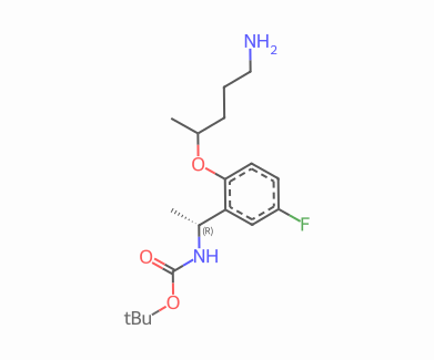 CC(CCCN)Oc1ccc(F)cc1[C@@H](C)NC(=O)OC(C)(C)C